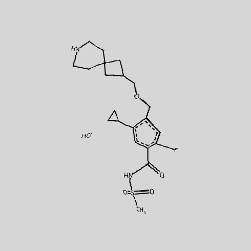 CS(=O)(=O)NC(=O)c1cc(C2CC2)c(COCC2CC3(CCNCC3)C2)cc1F.Cl